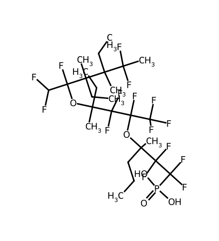 CCCC(C)(OC(F)(C(F)(F)F)C(F)(F)C(C)(CC)OC(F)(C(F)F)C(C)(CC)C(C)(CC)C(C)(F)F)C(F)(F)C(F)(F)P(=O)(O)O